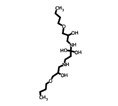 CCCCOCC(O)CNCCC(O)(O)NCC(O)COCCCC